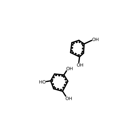 Oc1cc(O)cc(O)c1.Oc1cccc(O)c1